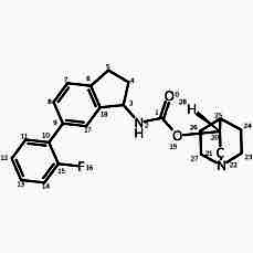 O=C(NC1CCc2ccc(-c3ccccc3F)cc21)O[C@H]1CN2CCC1CC2